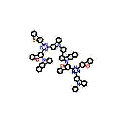 c1ccc(-n2c3ccccc3c3cc(-c4nc(-c5ccc6c(c5)oc5ccccc56)nc(-c5cc(-n6c7cc8ccccc8cc7c7c(-c8cccc(-n9c%10ccccc%10c%10cc(-c%11nc(-c%12ccc%13c(c%12)sc%12ccccc%12%13)nc(-c%12cc(-n%13c%14ccccc%14c%14cc%15ccccc%15cc%14%13)c%13oc%14ccccc%14c%13c%12)n%11)ccc%109)c8)cccc76)c6oc7ccccc7c6c5)n4)ccc32)cc1